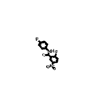 O=C(Nc1ccc(F)cc1)c1cc([N+](=O)[O-])ccc1F